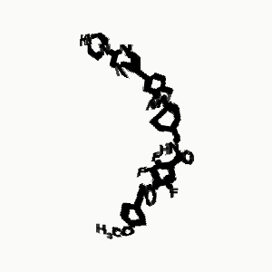 COc1ccc(COc2c(F)cc(C(=O)NCC3CCC(n4cc5ccc(-c6cnc(N7CCNCC7)cn6)cc5n4)CC3)c(F)c2F)cc1